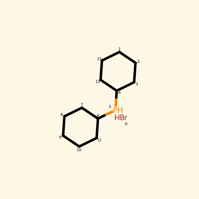 Br.C1CCC(PC2CCCCC2)CC1